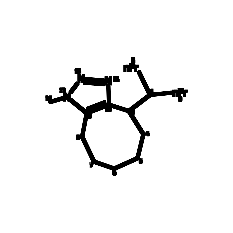 CCCC(CCC)C1CCCCCc2c1nnn2C